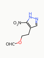 O=COCCc1cn[nH]c1[N+](=O)[O-]